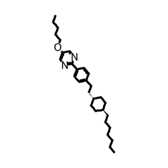 CCCCCCC[C@H]1CC[C@H](CCc2ccc(-c3ncc(OCCCCC)cn3)cc2)CC1